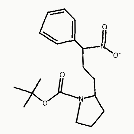 CC(C)(C)OC(=O)N1CCCC1CCC(c1ccccc1)[N+](=O)[O-]